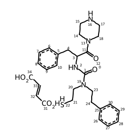 O=C(NC(Cc1ccccc1)C(=O)N1CCNCC1)N(CCS)CCc1ccccc1.O=C(O)/C=C/C(=O)O